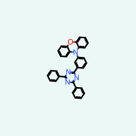 c1ccc(-c2nc(-c3ccccc3)nc(-c3cccc(N4c5ccccc5Oc5ccccc54)c3)n2)cc1